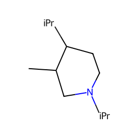 CC(C)C1CCN(C(C)C)CC1C